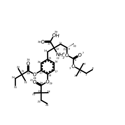 CCC(C)(C)OC(=O)O[C@@H](C)CC(N)(Cc1ccc(OC(=O)C(C)(C)CC)c(OC(=O)C(C)(C)CC)c1)C(=O)O